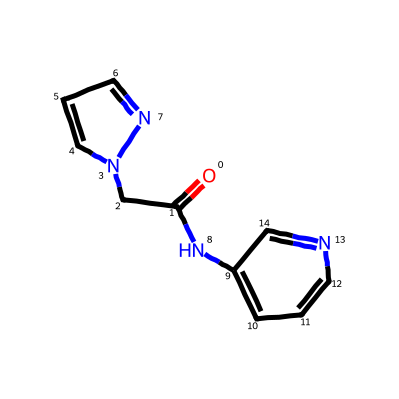 O=C(Cn1c[c]cn1)Nc1cccnc1